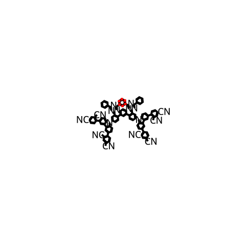 N#Cc1ccc(-c2ccc3c(c2)c2cc(-c4ccc(C#N)cc4C#N)ccc2n3-c2ccc(-c3cccc(-c4ccc(-n5c6ccc(-c7ccc(C#N)cc7C#N)cc6c6cc(-c7ccc(C#N)cc7C#N)ccc65)cc4-c4nc(-c5ccccc5)nc(-c5ccccc5)n4)c3)c(-c3nc(-c4ccccc4)nc(-c4ccccc4)n3)c2)c(C#N)c1